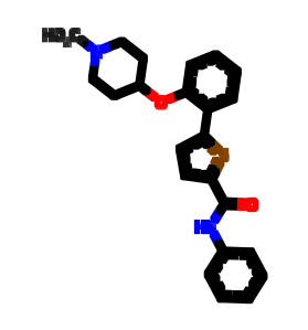 O=C(Nc1ccccc1)c1ccc(-c2ccccc2OC2CCN(C(=O)O)CC2)s1